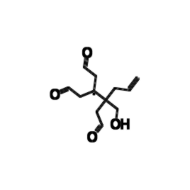 C=CCC(CO)(CC=O)[C](CC=O)CC=O